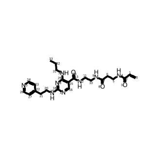 C=CC(=O)NCCC(=O)NCCNC(=O)c1cnc(NCCc2ccncc2)nc1NCCC